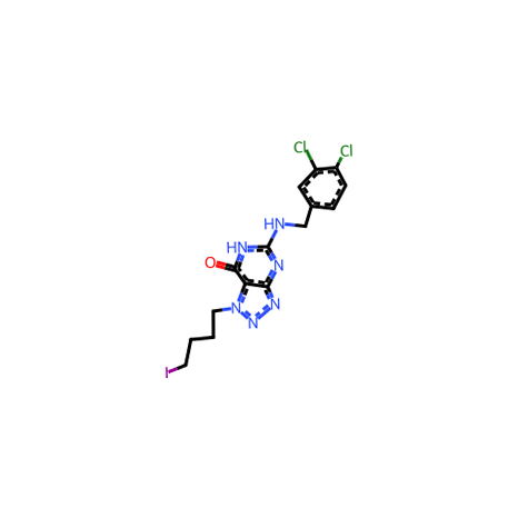 O=c1[nH]c(NCc2ccc(Cl)c(Cl)c2)nc2nnn(CCCCI)c12